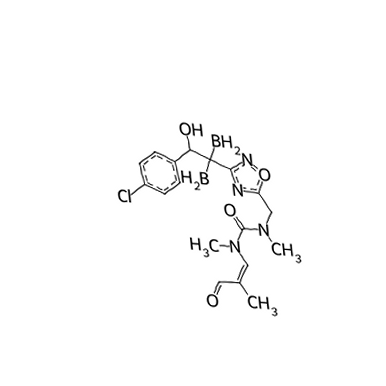 BC(B)(c1noc(CN(C)C(=O)N(C)/C=C(/C)C=O)n1)C(O)c1ccc(Cl)cc1